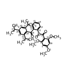 COc1cc(OC)c(C(=O)[P](=O)c2ccccc2C(=O)c2c(C(C)C)cc(C(C)C)cc2C(C)C)c(OC)c1